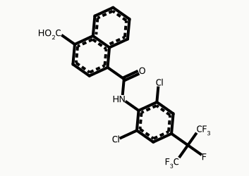 O=C(O)c1ccc(C(=O)Nc2c(Cl)cc(C(F)(C(F)(F)F)C(F)(F)F)cc2Cl)c2ccccc12